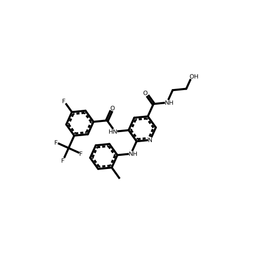 Cc1ccccc1Nc1ncc(C(=O)NCCO)cc1NC(=O)c1cc(F)cc(C(F)(F)F)c1